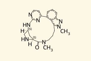 CN1CCCc2c3c(cccc3nn2C)-c2ccnc(n2)N[C@@H]2CN[C@@H](C2)C1=O